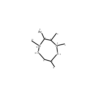 CC(=O)C1C(C)N(C)SC(C)CSN1C